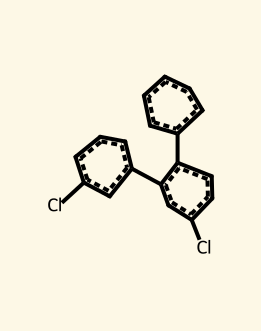 Clc1cccc(-c2cc(Cl)ccc2-c2ccccc2)c1